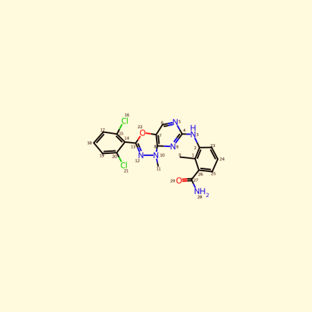 Cc1c(Nc2ncc3c(n2)N(C)N=C(c2c(Cl)cccc2Cl)O3)cccc1C(N)=O